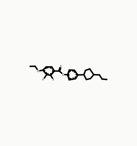 CCCC1CCC(c2ccc(OC(=S)c3ccc(OCC)c(F)c3F)cc2)CC1